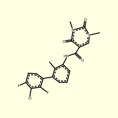 Cc1c(NC(=O)c2cn(C)c(=O)n(C)c2=O)cccc1-c1ccc(F)c(Cl)c1F